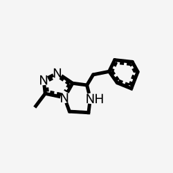 Cc1nnc2n1CCNC2Cc1ccccc1